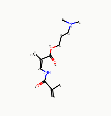 C=C(C)C(=O)NC=C(CCCC)C(=O)OCCCN(C)C